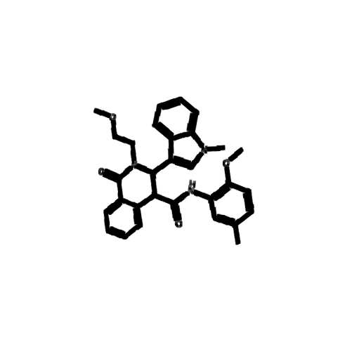 COCCN1C(=O)c2ccccc2C(C(=O)Nc2cc(C)ccc2OC)C1c1cn(C)c2ccccc12